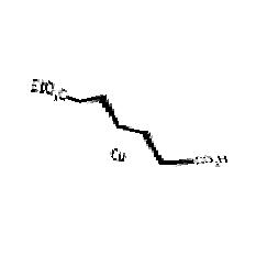 CCOC(=O)CCCCC(=O)O.[Cu]